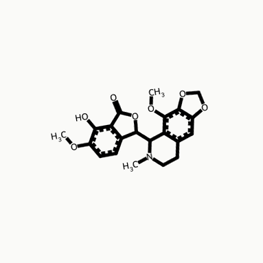 COc1ccc2c(c1O)C(=O)OC2C1c2c(cc3c(c2OC)OCO3)CCN1C